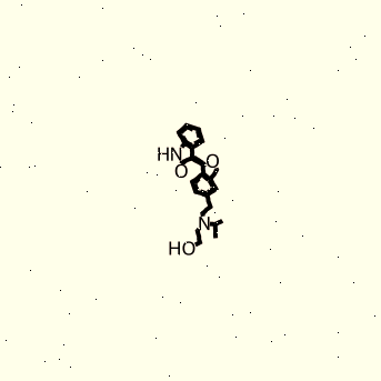 CC(C)N(CCO)CCc1ccc2c(c1)COC2=C1C(=O)Nc2ccccc21